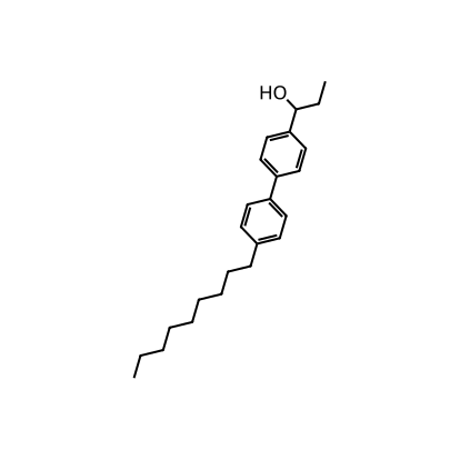 CCCCCCCCCc1ccc(-c2ccc(C(O)CC)cc2)cc1